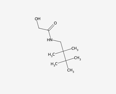 CC(C)(C)C(C)(C)CNC(=O)CO